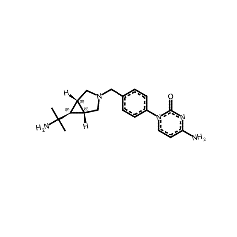 CC(C)(N)[C@H]1[C@@H]2CN(Cc3ccc(-n4ccc(N)nc4=O)cc3)C[C@@H]21